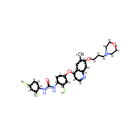 N#Cc1cc2c(Oc3ccc(NC(=O)Nc4ccc(F)cc4F)c(F)c3)ccnc2cc1OCCCN1CCOCC1